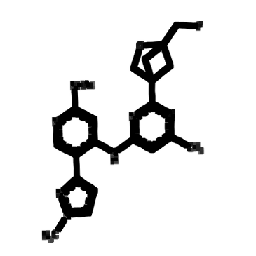 CC(=O)Nc1cc(Nc2cc(C)nc(C34COC(CF)(C3)C4)n2)c(-c2ccn(C)n2)cn1